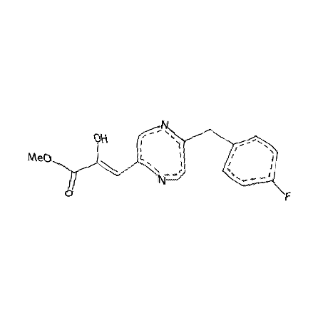 COC(=O)C(O)=Cc1cnc(Cc2ccc(F)cc2)cn1